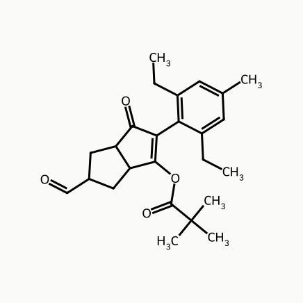 CCc1cc(C)cc(CC)c1C1=C(OC(=O)C(C)(C)C)C2CC(C=O)CC2C1=O